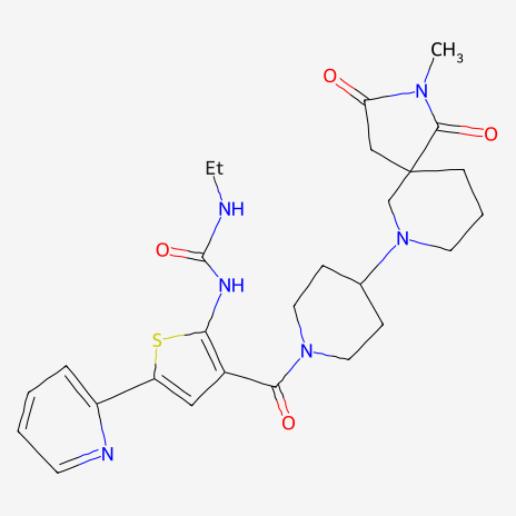 CCNC(=O)Nc1sc(-c2ccccn2)cc1C(=O)N1CCC(N2CCCC3(CC(=O)N(C)C3=O)C2)CC1